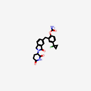 NC(=O)Oc1ccc(C2(F)CC2)cc1Cc1ccc2c(c1)C(=O)N(C1CCC(=O)NC1=O)C2